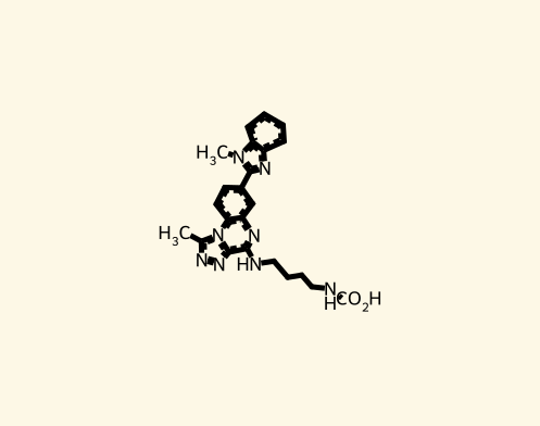 Cc1nnc2c(NCCCCNC(=O)O)nc3cc(-c4nc5ccccc5n4C)ccc3n12